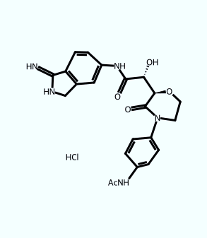 CC(=O)Nc1ccc(N2CCO[C@H]([C@@H](O)C(=O)Nc3ccc4c(c3)CNC4=N)C2=O)cc1.Cl